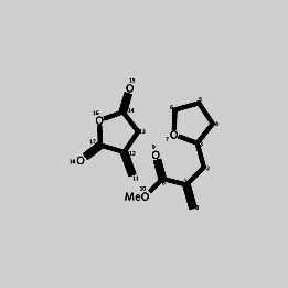 C=C(CC1CCCO1)C(=O)OC.C=C1CC(=O)OC1=O